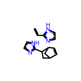 C1=CC2CC1CC2c1ncc[nH]1.C=Cc1ncc[nH]1